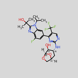 CC(C)n1c(C(C)(C)O)nc2c(F)cc(-c3nc(N[C@@H]4C[C@H]5CO[C@H](O5)[C@H]4O)ncc3C(F)(F)F)cc21